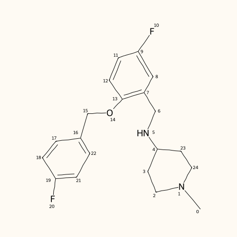 CN1CCC(NCc2cc(F)ccc2OCc2ccc(F)cc2)CC1